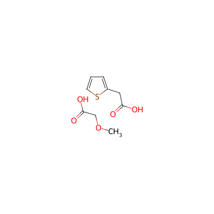 COCC(=O)O.O=C(O)Cc1cccs1